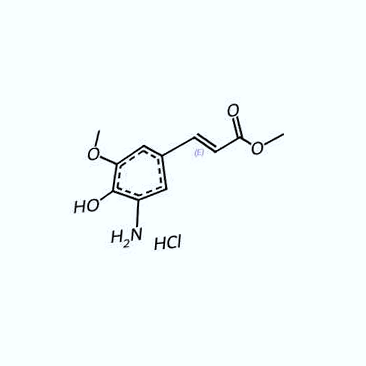 COC(=O)/C=C/c1cc(N)c(O)c(OC)c1.Cl